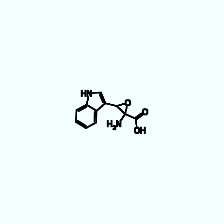 NC1(C(=O)O)OC1c1c[nH]c2ccccc12